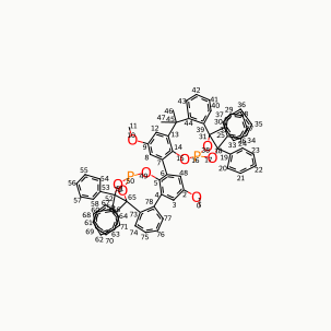 COc1cc2c(c(-c3cc(OC)cc4c3OP3OC(c5ccccc5)(c5ccccc5)C(c5ccccc5)(O3)c3ccccc3C4(C)C)c1)OP1OC(c3ccccc3)(c3ccccc3)C(c3ccccc3)(O1)c1ccccc1-2